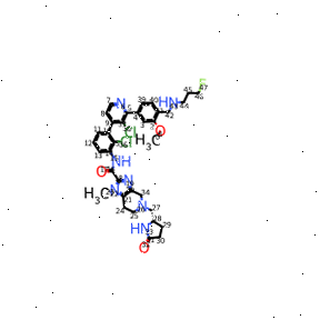 COc1cc(-c2nccc(-c3cccc(NC(=O)c4nc5c(n4C)CCN(C[C@@H]4CCC(=O)N4)C5)c3Cl)c2Cl)ccc1CNCCCF